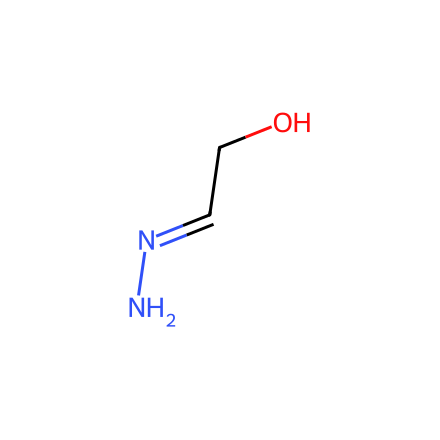 NN=CCO